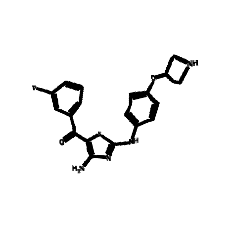 Nc1nc(Nc2ccc(OC3CNC3)cc2)sc1C(=O)c1cccc(F)c1